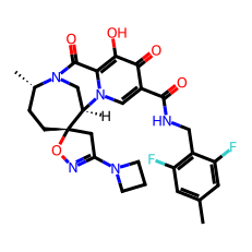 Cc1cc(F)c(CNC(=O)c2cn3c(c(O)c2=O)C(=O)N2C[C@@H]3[C@]3(CC[C@@H]2C)CC(N2CCC2)=NO3)c(F)c1